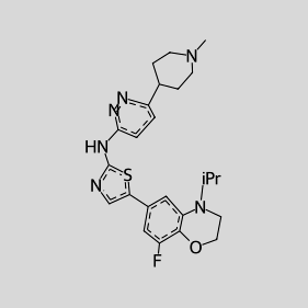 CC(C)N1CCOc2c(F)cc(-c3cnc(Nc4ccc(C5CCN(C)CC5)nn4)s3)cc21